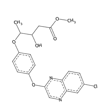 COC(=O)CC(O)C(C)Oc1ccc(Oc2cnc3cc(Cl)ccc3n2)cc1